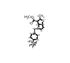 COC(=O)c1c(C)sc2ccn(Cc3ccc(S(F)(F)(F)(F)F)cc3)c12